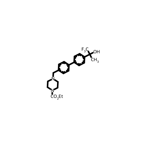 CCOC(=O)N1CCN(Cc2ccc(-c3ccc(C(C)(O)C(F)(F)F)cc3)cc2)CC1